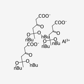 CCCCOC(C)(CC(=O)CC(=O)[O-])OCCCC.CCCCOC(C)(CC(=O)CC(=O)[O-])OCCCC.CCCCOC(C)(CC(=O)CC(=O)[O-])OCCCC.[Al+3]